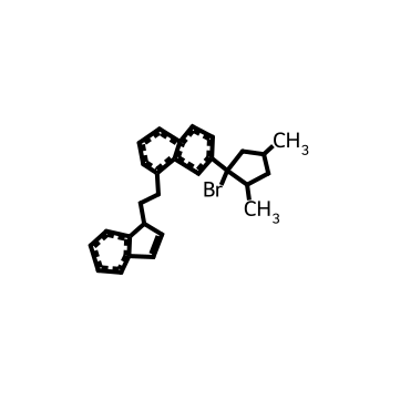 CC1CC(C)C(Br)(c2ccc3cccc(CCC4C=Cc5ccccc54)c3c2)C1